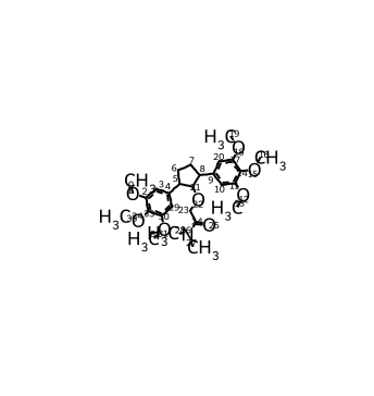 COc1cc(C2CCC(c3cc(OC)c(OC)c(OC)c3)C2OCC(=O)N(C)C)cc(OC)c1OC